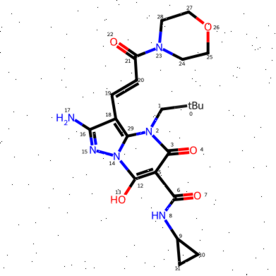 CC(C)(C)Cn1c(=O)c(C(=O)NC2CC2)c(O)n2nc(N)c(C=CC(=O)N3CCOCC3)c12